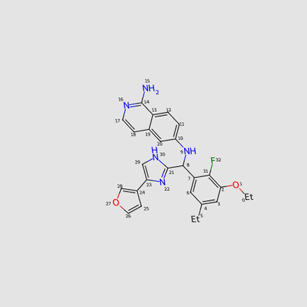 CCOc1cc(CC)cc(C(Nc2ccc3c(N)nccc3c2)c2nc(-c3ccoc3)c[nH]2)c1F